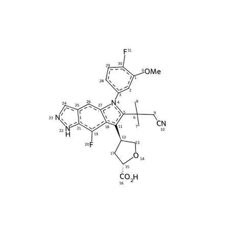 COc1cc(-n2c(C(C)(C)CC#N)c([C@H]3CO[C@H](C(=O)O)C3)c3c(F)c4[nH]ncc4cc32)ccc1F